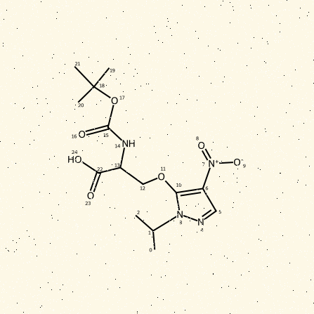 CC(C)n1ncc([N+](=O)[O-])c1OCC(NC(=O)OC(C)(C)C)C(=O)O